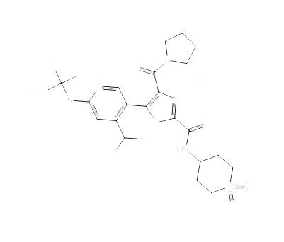 C[C@H]1CCCN1C(=O)c1nc(C(=O)NC2CCS(=O)(=O)CC2)sc1-c1cnc(NC(C)(C)C)cc1C(F)F